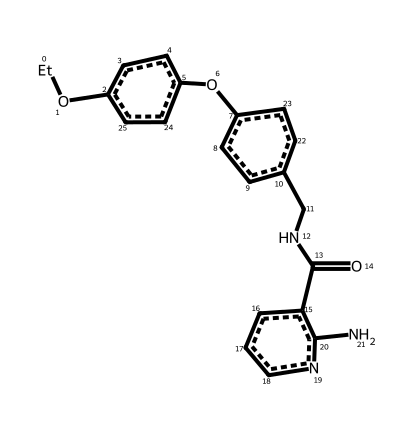 CCOc1ccc(Oc2ccc(CNC(=O)c3cccnc3N)cc2)cc1